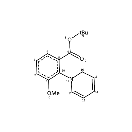 COc1cccc(C(=O)OC(C)(C)C)c1N1C=CC=CC1